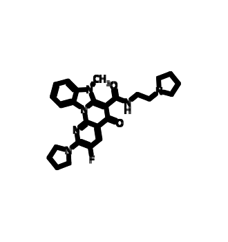 Cn1c2ccccc2n2c3nc(N4CCCC4)c(F)cc3c(=O)c(C(=O)NCCN3CCCC3)c12